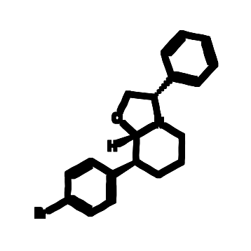 Brc1ccc([C@@H]2CCCN3[C@@H](c4ccccc4)CO[C@@H]23)cc1